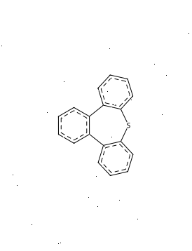 c1ccc2c(c1)Sc1ccccc1-c1ccccc1-2